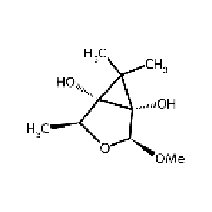 CO[C@H]1O[C@@H](C)[C@@]2(O)C(C)(C)[C@@]12O